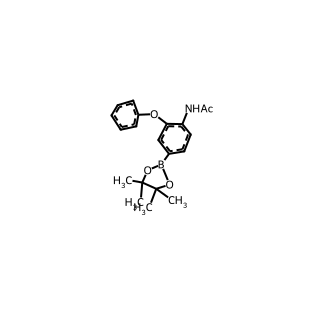 CC(=O)Nc1ccc(B2OC(C)(C)C(C)(C)O2)cc1Oc1ccccc1